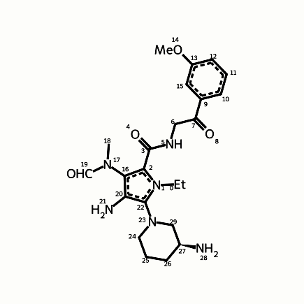 CCn1c(C(=O)NCC(=O)c2cccc(OC)c2)c(N(C)C=O)c(N)c1N1CCC[C@H](N)C1